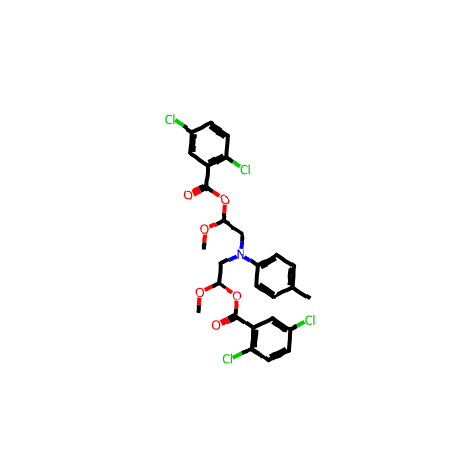 COC(CN(CC(OC)OC(=O)c1cc(Cl)ccc1Cl)c1ccc(C)cc1)OC(=O)c1cc(Cl)ccc1Cl